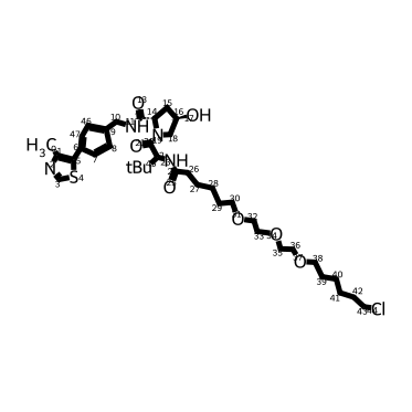 Cc1ncsc1-c1ccc(CNC(=O)[C@@H]2C[C@@H](O)CN2C(=O)C(NC(=O)CCCCCOCCOCCOCCCCCCCl)C(C)(C)C)cc1